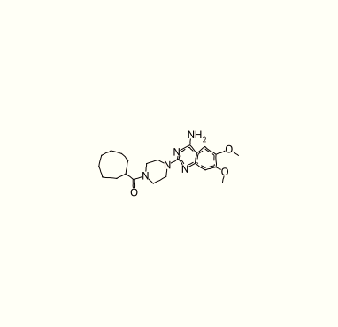 COc1cc2nc(N3CCN(C(=O)C4CCCCCCC4)CC3)nc(N)c2cc1OC